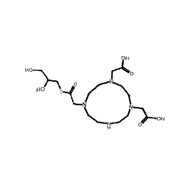 O=C(O)CN1CCNCCN(CC(=O)OCC(O)CO)CCN(CC(=O)O)CC1